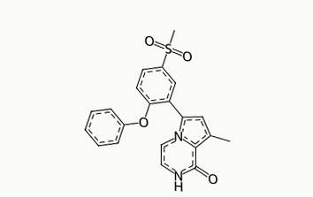 Cc1cc(-c2cc(S(C)(=O)=O)ccc2Oc2ccccc2)n2cc[nH]c(=O)c12